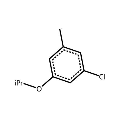 [CH2]c1cc(Cl)cc(OC(C)C)c1